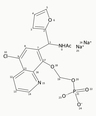 CC(=O)NC(c1ccco1)c1cc(Cl)c2cccnc2c1OCOP(=O)([O-])[O-].[Na+].[Na+]